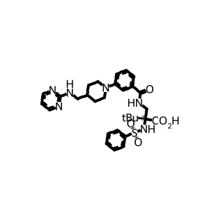 CC(C)(C)[C@](CNC(=O)c1cccc(N2CCC(CNc3ncccn3)CC2)c1)(NS(=O)(=O)c1ccccc1)C(=O)O